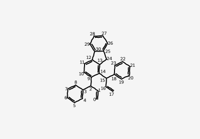 C=CC(c1ccccc1)c1ccc2c(c1C(C=C)c1ccccc1)Cc1ccccc1-2